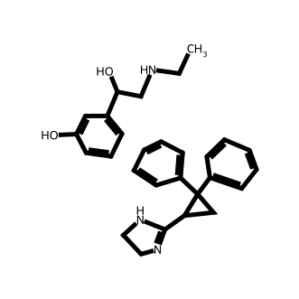 CCNCC(O)c1cccc(O)c1.c1ccc(C2(c3ccccc3)CC2C2=NCCN2)cc1